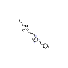 CCCCNC(=O)OCC#C/C=C/C=C(\C=C/N)CCc1ccncc1